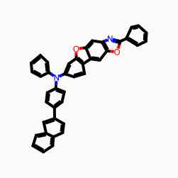 c1ccc(-c2nc3cc4oc5cc(N(c6ccccc6)c6ccc(-c7ccc8ccccc8c7)cc6)ccc5c4cc3o2)cc1